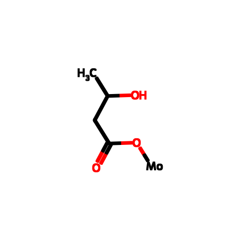 CC(O)CC(=O)[O][Mo]